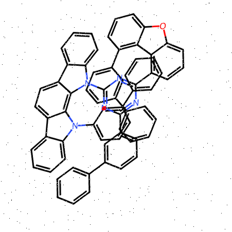 c1ccc(-c2cccc(-c3nc(-c4cccc5oc6cccc(-c7cccc(-c8ccccc8)c7)c6c45)nc(-n4c5ccccc5c5ccc6c7ccccc7n(-c7cccc(-c8ccccc8)c7)c6c54)n3)c2)cc1